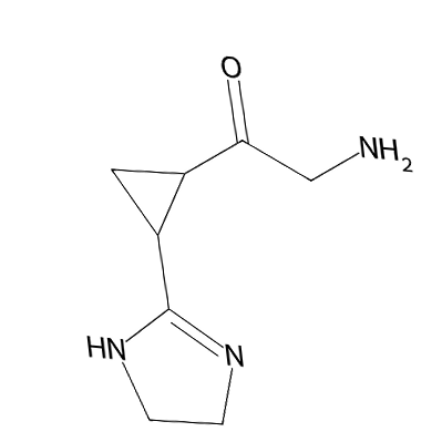 NCC(=O)C1CC1C1=NCCN1